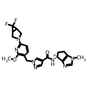 COc1nc(N2CC3C(C2)C3(F)F)ccc1Cn1cc(C(=O)N[C@@H]2CCc3c2ncn3C)cn1